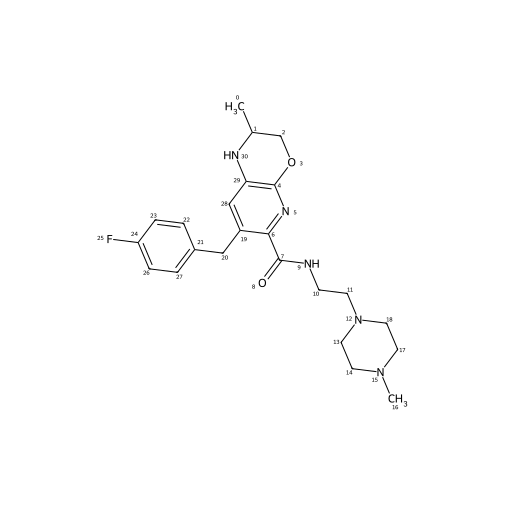 CC1COc2nc(C(=O)NCCN3CCN(C)CC3)c(Cc3ccc(F)cc3)cc2N1